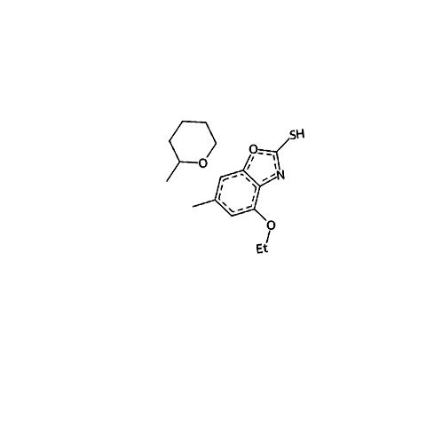 CC1CCCCO1.CCOc1cc(C)cc2oc(S)nc12